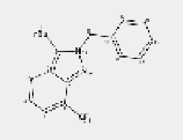 CCCCc1c2cccc(C(F)(F)F)c2nn1Cc1ccccc1